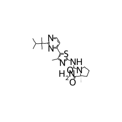 Cc1nc(NC(=O)N2CCC[C@@]2(C)C(N)=O)sc1-c1ccnc(C(C)(C)C(C)C)n1